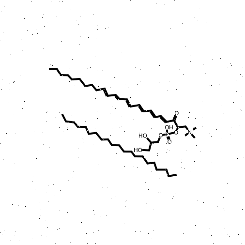 CCCCCCCCCC=CC=CC=CC=CC=CC=CC(=O)C(C[N+](C)(C)C)OP(=O)(O)OCC(O)CO.CCCCCCCCCCCCCCCCCCCCC